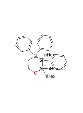 CCCCCC[Si]1(CCCCCC)OCC[Si](c2ccccc2)(c2ccccc2)[Si]1(CCCCCC)c1ccccc1